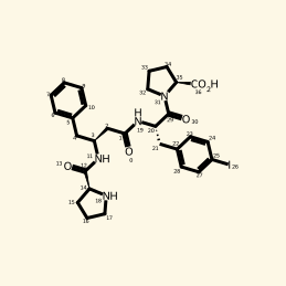 O=C(C[C@H](Cc1ccccc1)NC(=O)[C@@H]1CCCN1)N[C@@H](Cc1ccc(I)cc1)C(=O)N1CCC[C@H]1C(=O)O